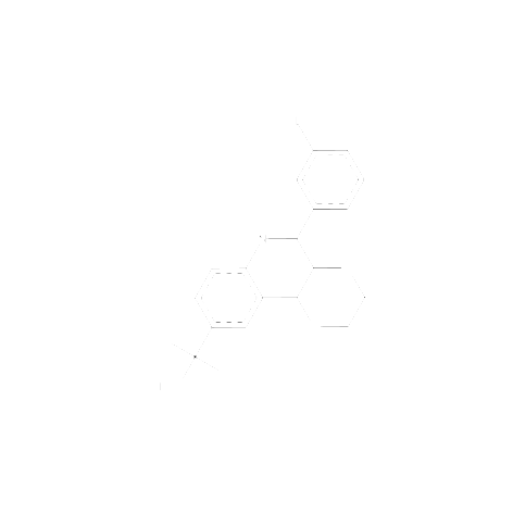 CC(C)(C)c1ccc2c(c1)C1OCCOC1C(c1cccc(Cl)c1)N2